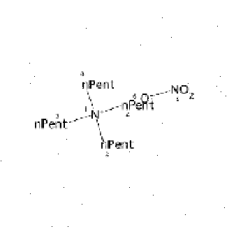 CCCCC[N+](CCCCC)(CCCCC)CCCCC.O=[N+]([O-])[O-]